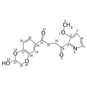 COc1cccnc1C(=O)CCC(=O)c1ccc2c(c1)OCC(O)O2